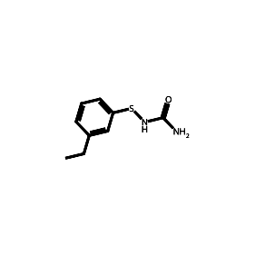 CCc1cccc(SNC(N)=O)c1